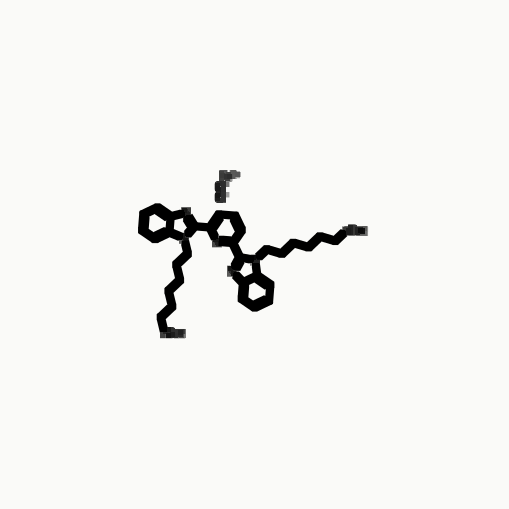 CCCCCCCCCCCCCCCCn1c(-c2cccc(-c3nc4ccccc4n3CCCCCCCCCCCCCCCC)n2)nc2ccccc21.[Cl-].[Cl-].[Fe+2]